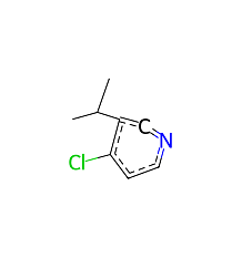 CC(C)c1cnccc1Cl